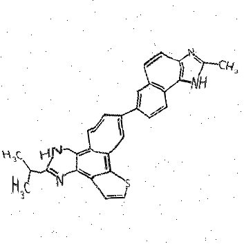 Cc1nc2ccc3cc(-c4ccc5c(c4)c4sccc4c4nc(C(C)C)[nH]c54)ccc3c2[nH]1